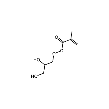 C=C(C)C(=O)OOCC(O)CO